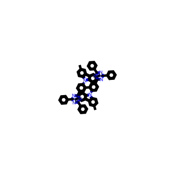 Cc1ccc2c(c1)c1cc(C)ccc1n2-c1ccc(-c2nc(-c3ccccc3)nc(-c3ccccc3)n2)cc1-c1cc(-c2nc(-c3ccccc3)nc(-c3ccccc3)n2)ccc1-n1c2ccc(C)cc2c2cc(C)ccc21